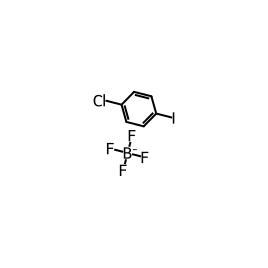 Clc1ccc(I)cc1.F[B-](F)(F)F